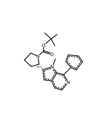 Cn1c([C@@H]2CCCN2C(=O)OC(C)(C)C)cc2ccnc(-c3ccccc3)c21